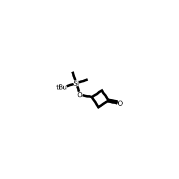 CC(C)(C)[Si](C)(C)OC1CC(=O)C1